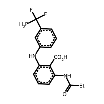 CCC(=O)Nc1cccc(Nc2cccc(C(F)(F)P)c2)c1C(=O)O